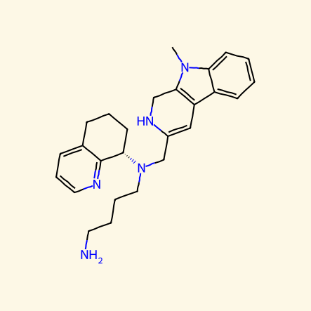 Cn1c2c(c3ccccc31)C=C(CN(CCCCN)[C@H]1CCCc3cccnc31)NC2